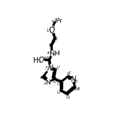 CC(C)OCCNC(O)n1cnc(-c2cccnc2)c1